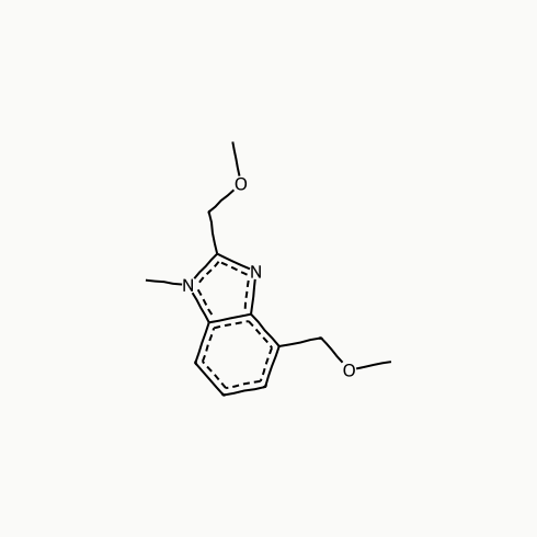 COCc1cccc2c1nc(COC)n2C